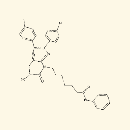 Cc1ccc(-c2nc3c(nc2-c2ccc(Cl)cc2)N(CCCCCCC(=O)Nc2ccccc2)C(=O)C(O)C3)cc1